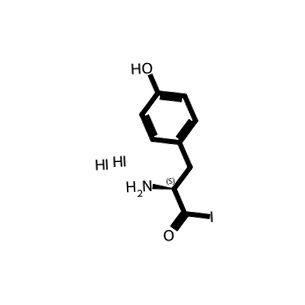 I.I.N[C@@H](Cc1ccc(O)cc1)C(=O)I